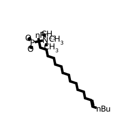 CCCCC=CCCCCCCCCCCCCCC(CCC)(P(=O)=O)[N+](C)(C)C